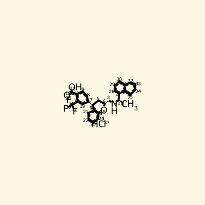 C[C@@H](NC[C@H]1C[C@@H](c2ccc(C(=O)O)c(C(F)(F)F)c2)c2ccccc2O1)c1cccc2ccccc12.Cl